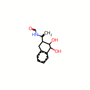 C=C(NC=O)C1Cc2ccccc2C(O)C1O